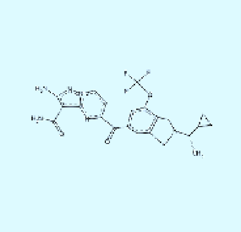 C[C@@H](C1CC1)N1Cc2cc(C(=O)c3ccn4nc(N)c(C(N)=O)c4n3)cc(OC(F)(F)F)c2C1